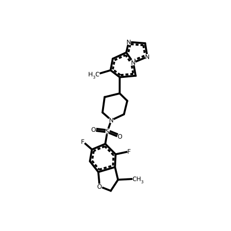 Cc1cc2ncnn2cc1C1CCN(S(=O)(=O)c2c(F)cc3c(c2F)C(C)CO3)CC1